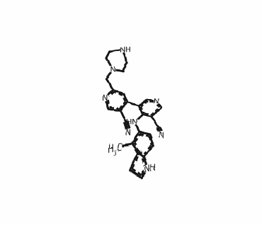 Cc1c(Nc2c(C#N)cncc2-c2cc(CN3CCNCC3)ncc2C#N)ccc2[nH]ccc12